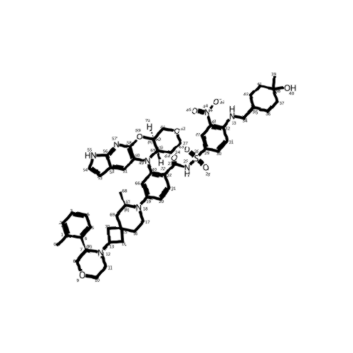 Cc1ccccc1[C@@H]1COCCN1C1CC2(CCN(c3ccc(C(=O)NS(=O)(=O)c4ccc(NCC5CCC(C)(O)CC5)c([N+](=O)[O-])c4)c(N4c5cc6cc[nH]c6nc5O[C@H]5COCC[C@@H]54)c3)[C@H](C)C2)C1